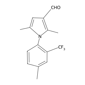 Cc1ccc(-n2c(C)cc(C=O)c2C)c(C(F)(F)F)c1